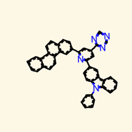 c1ccc(-n2c3ccccc3c3cc(-c4cc(-c5ncncn5)cc(-c5ccc6ccc7c8ccccc8ccc7c6c5)n4)ccc32)cc1